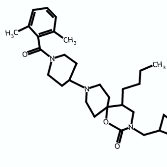 CCCCC1CN(CC2CCC2)C(=O)OC12CCN(C1CCN(C(=O)c3c(C)cccc3C)CC1)CC2